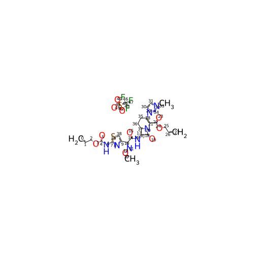 C=CCOC(=O)Nc1nc(C(=NOC)C(=O)N[C@H]2C(=O)N3C(C(=O)OCC=C)=C([n+]4ccn(C)c4)CCC23)cs1.O=S(=O)([O-])C(F)(F)F